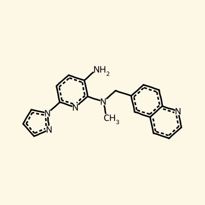 CN(Cc1ccc2ncccc2c1)c1nc(-n2cccn2)ccc1N